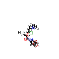 CCC(/C=N\C)=C/C(Cl)=C/OC(CC)C(=O)NCC1=C/C=C/OCO\C(C)=C\1